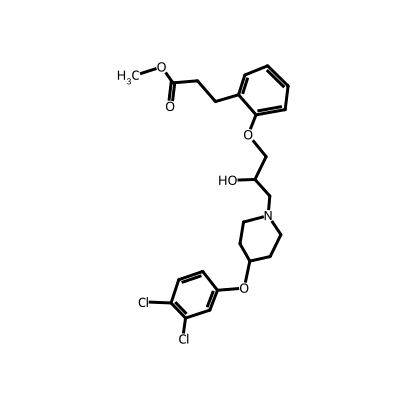 COC(=O)CCc1ccccc1OCC(O)CN1CCC(Oc2ccc(Cl)c(Cl)c2)CC1